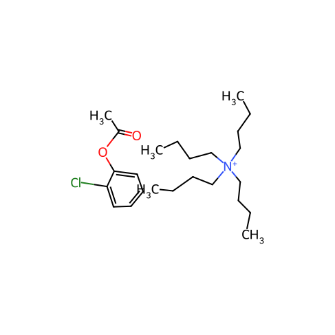 CC(=O)Oc1ccccc1Cl.CCCC[N+](CCCC)(CCCC)CCCC